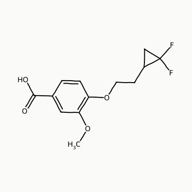 COc1cc(C(=O)O)ccc1OCCC1CC1(F)F